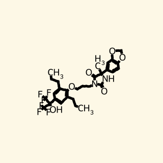 CCCc1cc(C(O)(C(F)(F)F)C(F)(F)F)cc(CCC)c1OCCCN1C(=O)NC(C)(c2ccc3c(c2)OCO3)C1=O